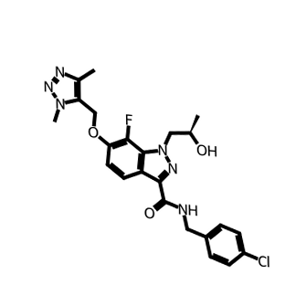 Cc1nnn(C)c1COc1ccc2c(C(=O)NCc3ccc(Cl)cc3)nn(C[C@@H](C)O)c2c1F